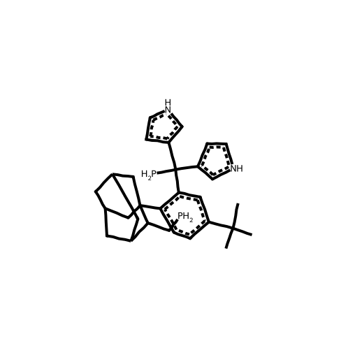 CC(C)(C)c1ccc(C23CC4CC(CC(C4)C2CP)C3)c(C(P)(c2cc[nH]c2)c2cc[nH]c2)c1